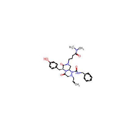 C=CCN1CC(=O)N2C(CN(CCCC(=O)N(C)C)C(=O)[C@@H]2Cc2ccc(O)cc2)N1C(=O)NCc1ccccc1